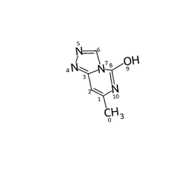 Cc1cc2nncn2c(O)n1